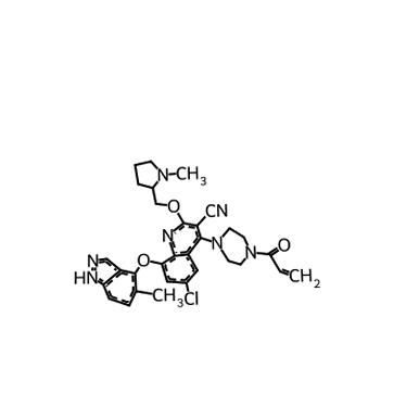 C=CC(=O)N1CCN(c2c(C#N)c(OCC3CCCN3C)nc3c(Oc4c(C)ccc5[nH]ncc45)cc(Cl)cc23)CC1